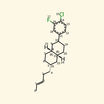 CC=CCC[C@@H]1CC[C@@H]2CC(c3ccc(Cl)c(F)c3)CC[C@@H]2C1